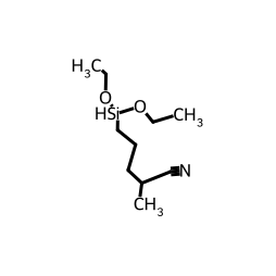 CCO[SiH](CCCC(C)C#N)OCC